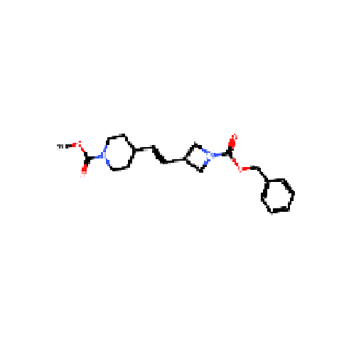 CC(C)(C)OC(=O)N1CCC(/C=C/C2CN(C(=O)OCc3ccccc3)C2)CC1